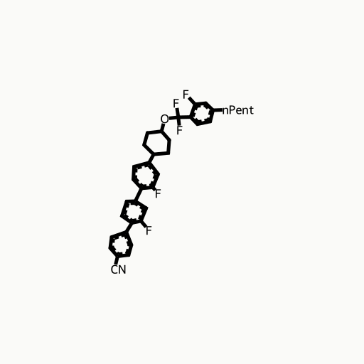 CCCCCc1ccc(C(F)(F)OC2CCC(c3ccc(-c4ccc(-c5ccc(C#N)cc5)c(F)c4)c(F)c3)CC2)c(F)c1